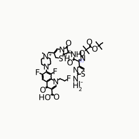 CC(C)(C)OC(=O)C(C)(C)O/N=C(\C(=O)N[C@H]1C(=O)N2C=C(C[N+]3(C)CCN(c4c(F)cc5c(=O)c(C(=O)O)cn(CCF)c5c4F)CC3)CS[C@@H]12)c1csc(N)n1.[I-]